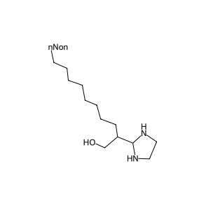 CCCCCCCCCCCCCCCCCC(CO)C1NCCN1